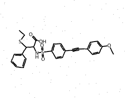 CCSC(c1ccccc1)C(NS(=O)(=O)c1ccc(C#Cc2ccc(OC)cc2)cc1)C(=O)O